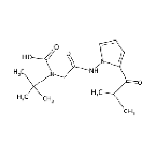 CC(C)C(=O)c1cccn1NC(=O)CN(C(=O)O)C(C)(C)C